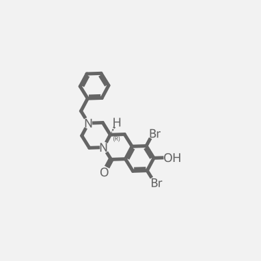 O=C1c2cc(Br)c(O)c(Br)c2C[C@@H]2CN(Cc3ccccc3)CCN12